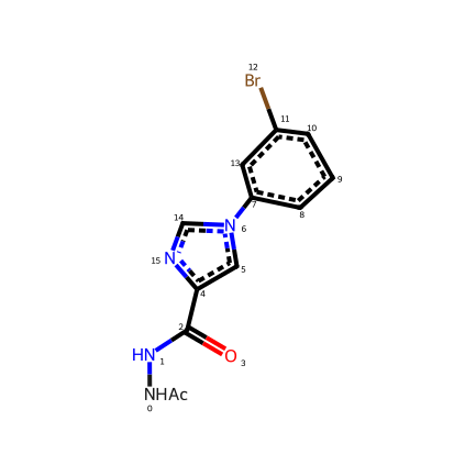 CC(=O)NNC(=O)c1cn(-c2cccc(Br)c2)cn1